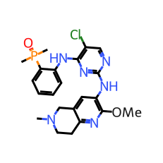 COc1nc2c(cc1Nc1ncc(Cl)c(Nc3ccccc3P(C)(C)=O)n1)CN(C)CC2